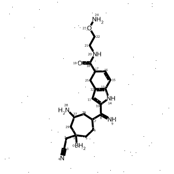 BC1(CC#N)CCC(C(=N)c2cc3c([nH]2)C=CC(C(=O)NCCON)C3)CC(N)C1